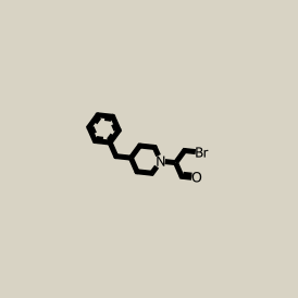 O=CC(CBr)N1CCC(Cc2ccccc2)CC1